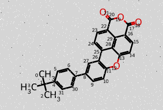 CC(C)(C)c1ccc(-c2ccc3oc4ccc5c(=O)oc(=O)c6ccc(c3c2)c4c56)cc1